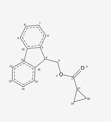 O=C(OCC1c2ccccc2-c2ccccc21)[C]1CC1